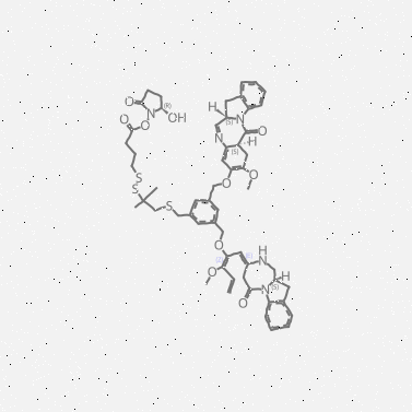 C=C/C(OC)=C(\C=C1/CC(=O)N2c3ccccc3C[C@H]2CN1)OCc1cc(COC2=C(OC)C[C@@H]3C(=O)N4c5ccccc5C[C@H]4C=NC3=C2)cc(CSCC(C)(C)SSCCCC(=O)ON2C(=O)CC[C@H]2O)c1